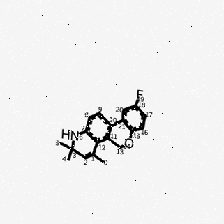 CC1=CC(C)(C)Nc2ccc3c(c21)COc1ccc(F)cc1-3